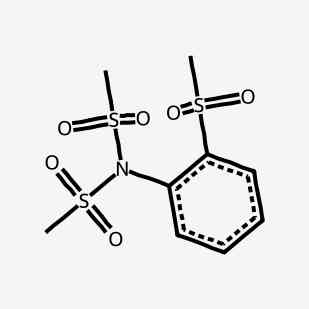 CS(=O)(=O)c1ccccc1N(S(C)(=O)=O)S(C)(=O)=O